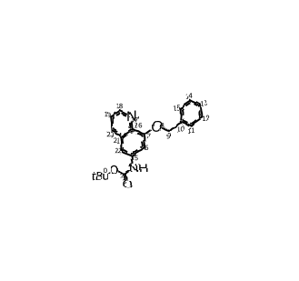 CC(C)(C)OC(=O)Nc1cc(OCc2ccccc2)c2ncccc2c1